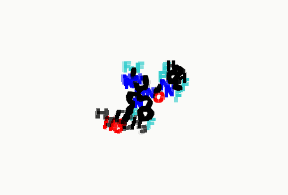 CC(C)(O)C#Cc1ccc(-c2cccn3c(C(F)F)nnc23)c([C@H](Cc2cc(F)cc(F)c2)NC(=O)Cn2nc(C(F)F)c3c2C(F)(F)[C@@H]2CC[C@H]32)n1